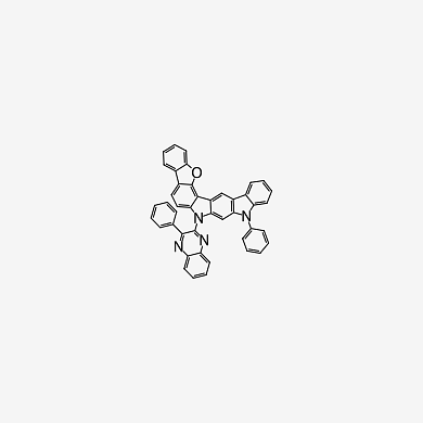 c1ccc(-c2nc3ccccc3nc2-n2c3cc4c(cc3c3c5oc6ccccc6c5ccc32)c2ccccc2n4-c2ccccc2)cc1